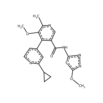 COc1nnc(NC(=O)c2cnc(C)c(OC)c2-c2ccnc(C3CC3)c2)s1